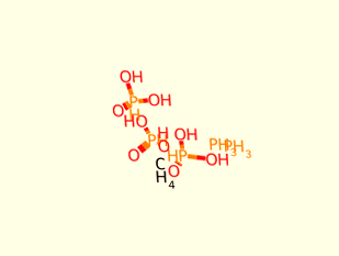 C.O=[PH](O)O.O=[PH](O)O.O=[PH](O)O.P.P